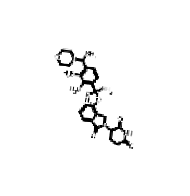 Bc1c(C(B)N2CCOCC2)ccc(C(B)(B)Oc2cccc3c2CN(C2CCC(=O)NC2=O)C3=O)c1B